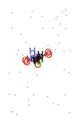 COC(=O)c1ccc(C2=CC[C@]3(C)[C@H]4CC[C@@H]5[C@H]6[C@H](C(C)NC(=O)C(F)(F)F)CC[C@]6(NCCN6CCS(=O)(=O)CC6)CC[C@@]5(C)[C@]4(C)CC[C@H]3C2(C)C)cc1